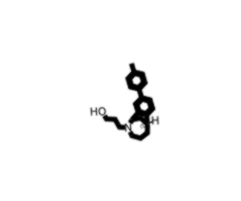 Cc1ccc(-c2ccc3c(c2)C2C[C@@H]3CCCN2CCCO)cc1